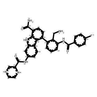 NCc1c(NC(=O)c2ccc(F)cc2)cccc1-c1ccc(C(N)=O)c2[nH]c3cc(NC(=O)c4cnccn4)ccc3c12